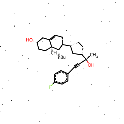 CCCC[C@H]1[C@H]([C@@H]2CC[C@H]([C@](C)(O)C#Cc3ccc(F)cc3)C2)CC=C2C[C@@H](O)CC[C@@]21C